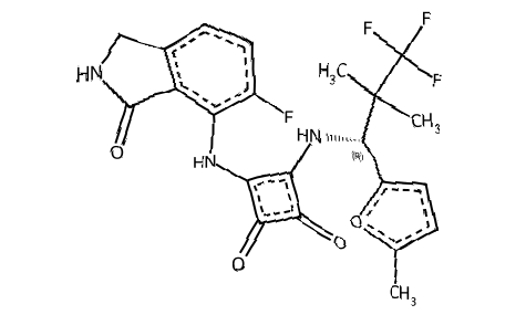 Cc1ccc([C@H](Nc2c(Nc3c(F)ccc4c3C(=O)NC4)c(=O)c2=O)C(C)(C)C(F)(F)F)o1